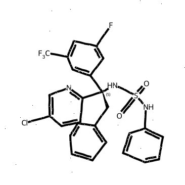 O=S(=O)(Nc1ccccc1)N[C@@](Cc1ccccc1)(c1cc(F)cc(C(F)(F)F)c1)c1ccc(Cl)cn1